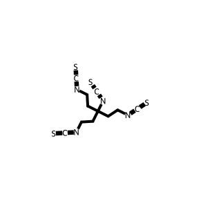 S=C=NCCC(CCN=C=S)(CCN=C=S)N=C=S